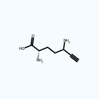 C#CC(N)CC[C@H](N)C(=O)O